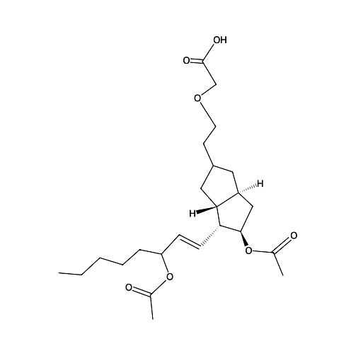 CCCCCC(C=C[C@@H]1[C@@H]2CC(CCOCC(=O)O)C[C@H]2C[C@H]1OC(C)=O)OC(C)=O